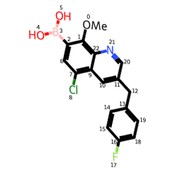 COc1c(B(O)O)cc(Cl)c2cc(Cc3ccc(F)cc3)cnc12